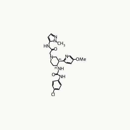 COc1ccc([C@@H]2CN(CC(=O)Nc3ccnn3C)CC[C@H]2NC(=O)Nc2ccc(Cl)cc2)nc1